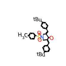 Cc1ccc(S(=O)(=O)N2CC(=Cc3ccc(C(C)(C)C)cc3)C(=O)C(=Cc3ccc(C(C)(C)C)cc3)C2)cc1